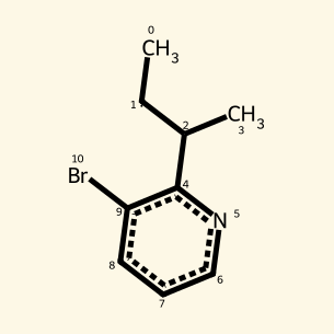 C[CH]C(C)c1ncccc1Br